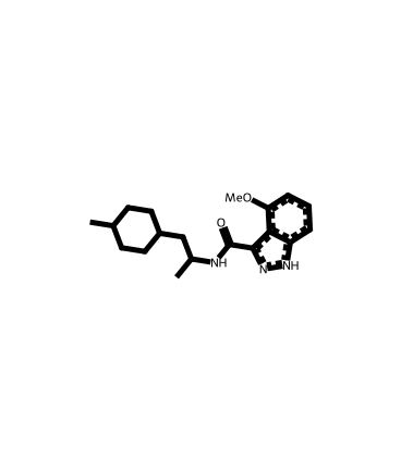 COc1cccc2[nH]nc(C(=O)NC(C)CC3CCC(C)CC3)c12